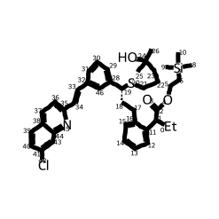 CCC(C(=O)OCC[Si](C)(C)C)c1ccccc1CC[C@@H](SCCCC(C)(C)O)c1cccc(/C=C/c2ccc3ccc(Cl)cc3n2)c1